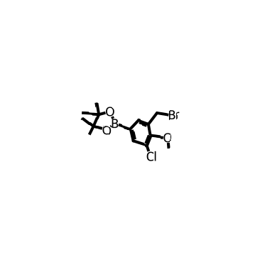 COc1c(Cl)cc(B2OC(C)(C)C(C)(C)O2)cc1CBr